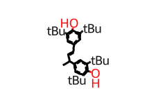 CC(/C=C/c1cc(C(C)(C)C)c(O)c(C(C)(C)C)c1)c1cc(C(C)(C)C)c(O)c(C(C)(C)C)c1